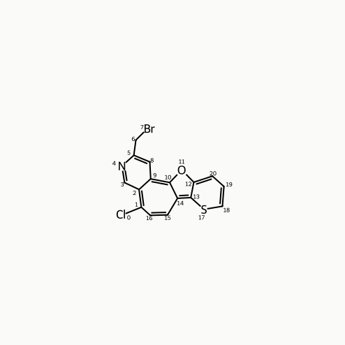 ClC1=c2cnc(CBr)cc2=c2oc3c(c2C=C1)SC=CC=3